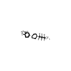 CCCCCOc1ccc([C@H]2CC[C@H](C(F)(F)C(F)(F)C(F)(F)C(F)(F)F)CC2)cc1